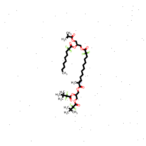 C=C(C)C(=O)OCC(COC(=O)C(F)(F)CCCCCCCC/C=C(\C)C(=O)OCC(COC(=O)C(F)(F)C(C)(C)C)OC(=O)C(F)(F)C(C)(C)C)OC(=O)C(F)(F)CCCCCCCC